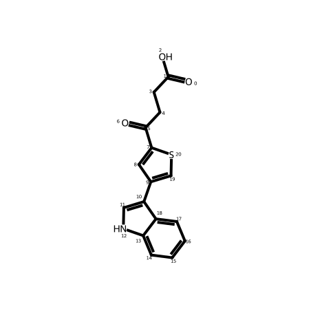 O=C(O)CCC(=O)c1cc(-c2c[nH]c3ccccc23)cs1